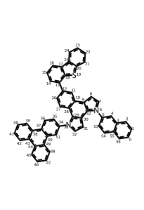 c1ccc2cc(-n3ccc4c5cc(-c6cccc7c6sc6ccccc67)ccc5c5c(ccn5-c5ccc6c7ccccc7c7ccccc7c6c5)c43)ccc2c1